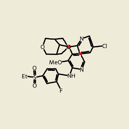 CCS(=O)(=O)c1ccc(Nc2ncnc(OC3C4COCC3CN(c3ncc(Cl)cn3)C4)c2OC)c(F)c1